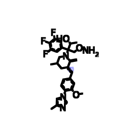 C=C1/C(=C/c2ccc(-n3cnc(C)c3)c(OC)c2)CC(C)CN1C(CON)(c1cc(F)c(F)c(F)c1)C(C)O